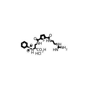 Cl.N=C(N)NCCNC(=O)c1ccc(C(=O)NC[C@H](NS(=O)(=O)c2ccccc2)C(=O)O)s1